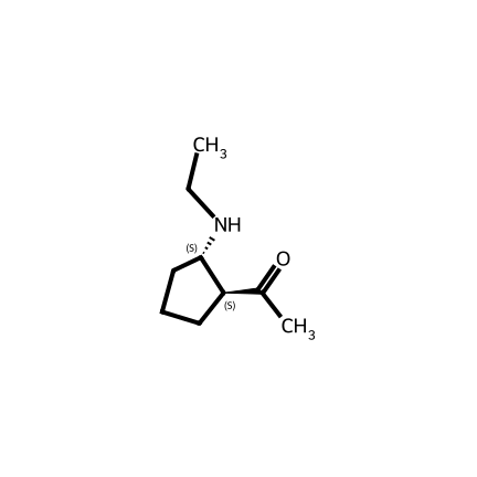 CCN[C@H]1CCC[C@@H]1C(C)=O